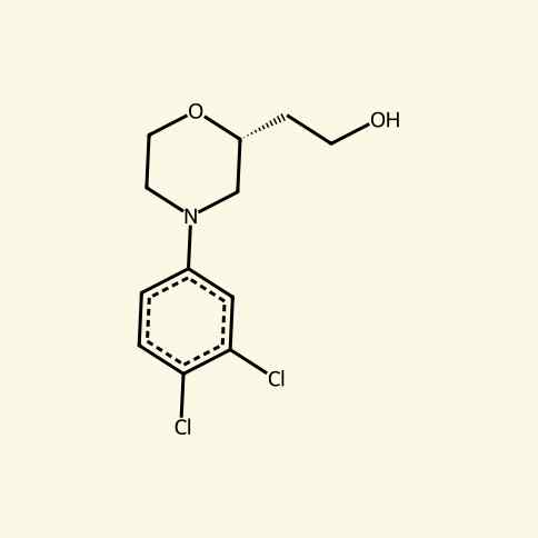 OCC[C@@H]1CN(c2ccc(Cl)c(Cl)c2)CCO1